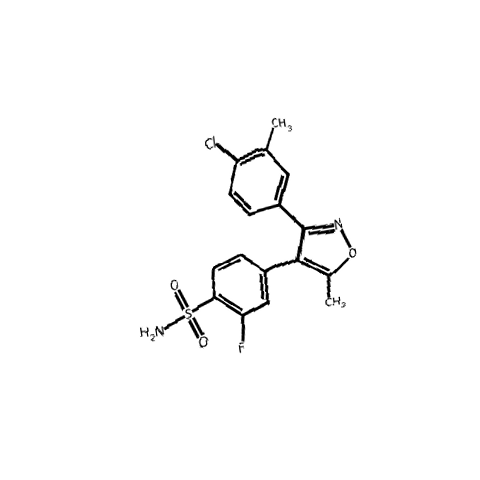 Cc1cc(-c2noc(C)c2-c2ccc(S(N)(=O)=O)c(F)c2)ccc1Cl